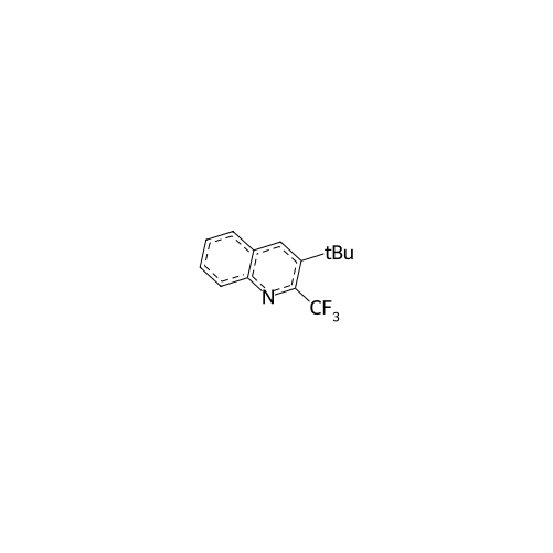 CC(C)(C)c1cc2ccccc2nc1C(F)(F)F